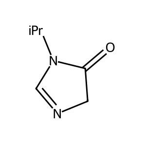 CC(C)N1C=NCC1=O